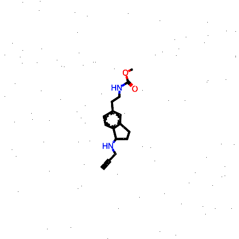 C#CCNC1CCc2cc(CCNC(=O)OC)ccc21